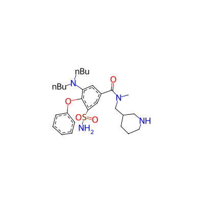 CCCCN(CCCC)c1cc(C(=O)N(C)CC2CCCNC2)cc(S(N)(=O)=O)c1Oc1ccccc1